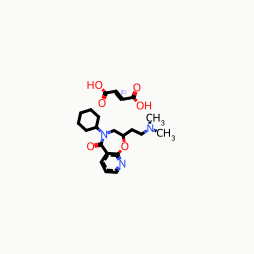 CN(C)CCC1CN(C2CCCCC2)C(=O)c2cccnc2O1.O=C(O)/C=C/C(=O)O